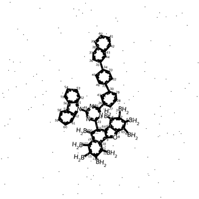 Bc1c(B)c(B)c2c(oc3c4c(B)c(B)c(B)c(B)c4c(B)c(-c4nc(-c5cccc(-c6ccc(-c7ccc8ccccc8c7)cc6)c5)nc(-n5c6ccccc6c6ccccc65)n4)c32)c1B